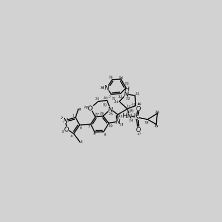 Cc1noc(C)c1-c1ccc2nc([C@@]3(NS(=O)(=O)C4CC4)CCNC3)n3c2c1OC[C@@H]3c1ccccn1